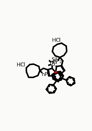 CCCC1(CC2=Cc3c(-c4ccccc4)cccc3[CH]2[Zr]([CH3])([CH3])(=[SiH2])[CH]2C(CC3(CCC)CCCCCCCC3)=Cc3c(-c4ccccc4)cccc32)CCCCCCCC1.Cl.Cl